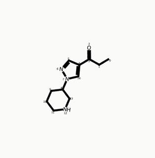 CCC(=O)c1cnn(C2CCCNC2)c1